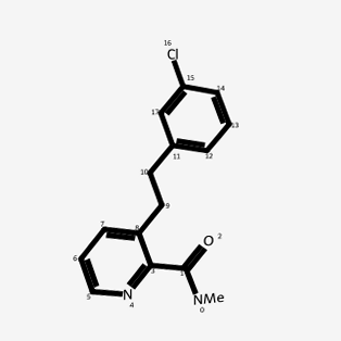 CNC(=O)c1ncccc1CCc1cccc(Cl)c1